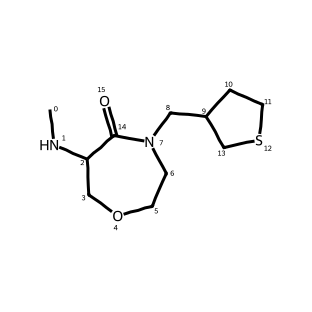 CNC1COCCN(CC2CCSC2)C1=O